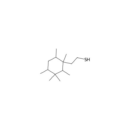 CC1CC(C)C(C)(CCS)C(C)C1(C)C